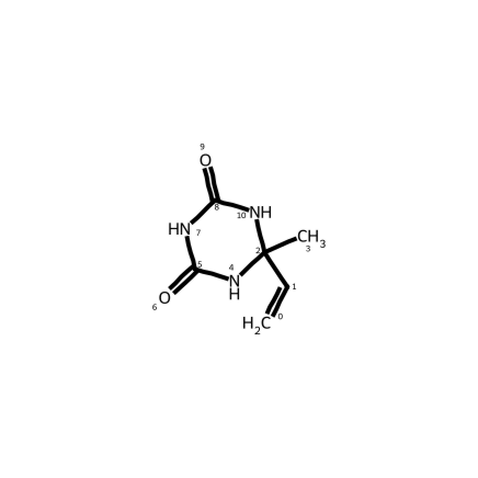 C=CC1(C)NC(=O)NC(=O)N1